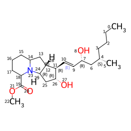 CCCC[C@H](C)C[C@@H](O)/C=C/[C@@H]1[C@H]2CC3CCCC(C(=O)OC)N3[C@@H]2C[C@H]1O